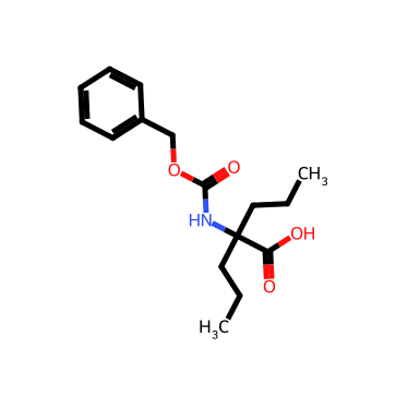 CCCC(CCC)(NC(=O)OCc1ccccc1)C(=O)O